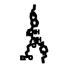 C=CCN1CCC2(CC1)C[C@@H]2C(=O)N[C@@H](CCCCCC(=O)CC)c1ncc(-c2ccc3c(c2)C2CCC3N2CC=C)[nH]1